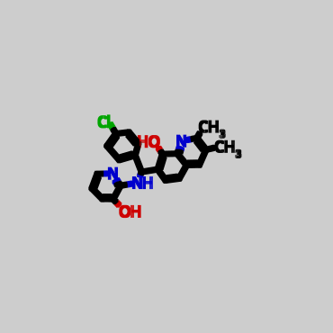 Cc1cc2ccc(C(Nc3ncccc3O)c3ccc(Cl)cc3)c(O)c2nc1C